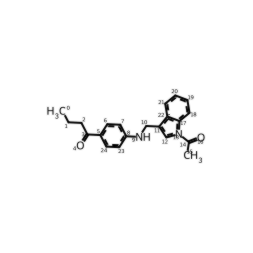 CCCC(=O)c1ccc(NCc2cn(C(C)=O)c3ccccc23)cc1